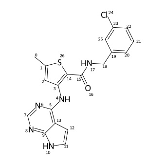 Cc1cc(Nc2ncnc3[nH]ccc23)c(C(=O)NCc2cccc(Cl)c2)s1